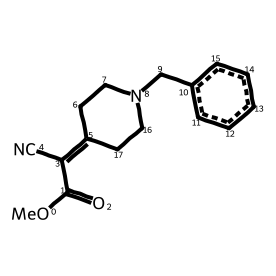 COC(=O)C(C#N)=C1CCN(Cc2ccccc2)CC1